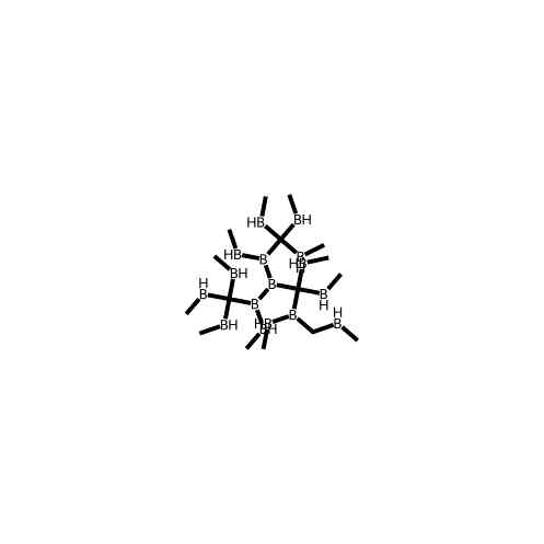 CBCB(BC)C(BC)(BC)B(B(BC)C(BC)(BC)BC)B(BC)C(BC)(BC)BC